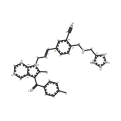 Cc1ccc(C(=O)c2c(C)n(C/C=C/c3ccc(COCc4nnn[nH]4)c(C#N)c3)c3ncncc23)cc1